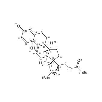 CCCCC(=O)OCC(=O)[C@@]1(OC(=O)C(C)(C)C)CC[C@H]2[C@@H]3CCC4=CC(=O)C=C[C@]4(C)C3=CC[C@@]21C